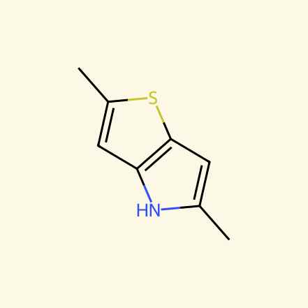 Cc1cc2sc(C)cc2[nH]1